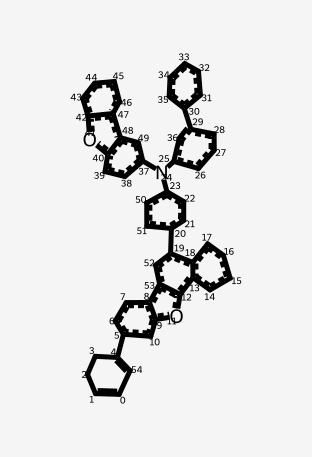 C1=CCCC(c2ccc3c(c2)oc2c4ccccc4c(-c4ccc(N(c5cccc(-c6ccccc6)c5)c5ccc6oc7ccccc7c6c5)cc4)cc32)=C1